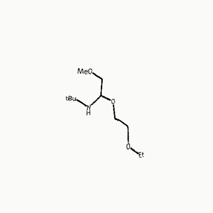 CCOCCOC(COC)NC(C)(C)C